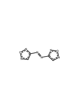 c1nonc1N=Nc1cnon1